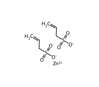 C=CCS(=O)(=O)[O-].C=CCS(=O)(=O)[O-].[Zn+2]